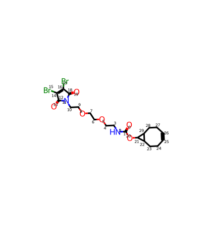 O=C(NCCOCCOCCN1C(=O)C(Br)=C(Br)C1=O)OC1C2CCC#CCCC21